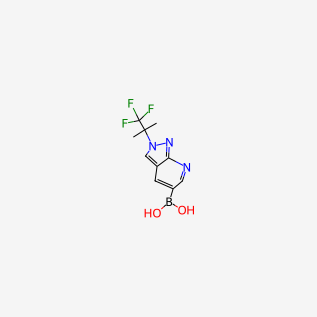 CC(C)(n1cc2cc(B(O)O)cnc2n1)C(F)(F)F